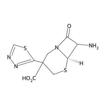 NC1C(=O)N2CC(C(=O)O)(c3nncs3)CS[C@H]12